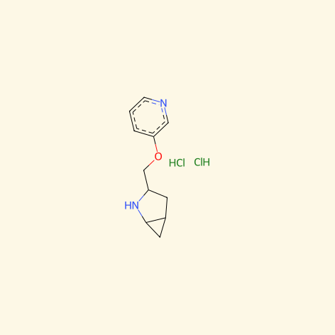 Cl.Cl.c1cncc(OCC2CC3CC3N2)c1